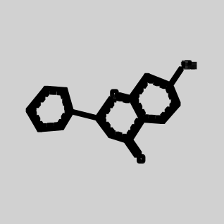 CC(C)(C)c1ccc2c(=O)cc(-c3ccccc3)oc2c1